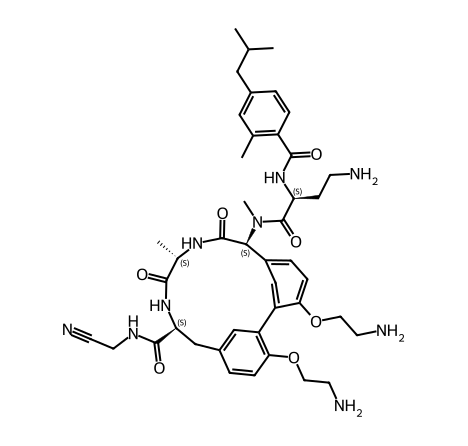 Cc1cc(CC(C)C)ccc1C(=O)N[C@@H](CCN)C(=O)N(C)[C@@H]1C(=O)N[C@@H](C)C(=O)N[C@H](C(=O)NCC#N)Cc2ccc(OCCN)c(c2)-c2cc1ccc2OCCN